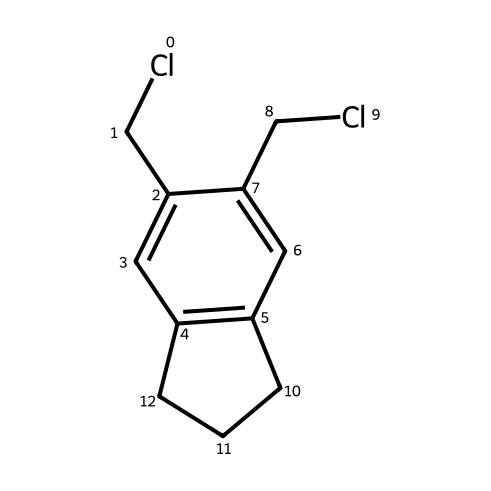 ClCc1cc2c(cc1CCl)CCC2